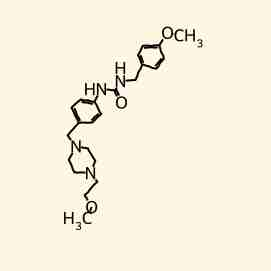 COCCN1CCN(Cc2ccc(NC(=O)NCc3ccc(OC)cc3)cc2)CC1